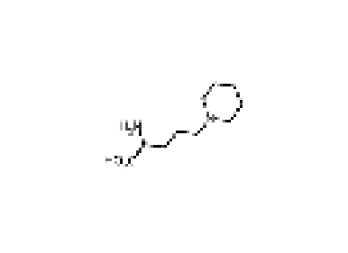 N[C@@H](CCCN1CCCCC1)C(=O)O